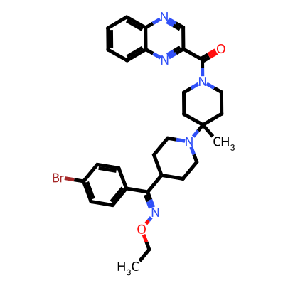 CCON=C(c1ccc(Br)cc1)C1CCN(C2(C)CCN(C(=O)c3cnc4ccccc4n3)CC2)CC1